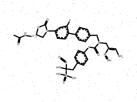 CC(=O)NC[C@H]1CN(c2ccc(-c3ccc(CN(C/C(=C/N)N=N)C(=O)Sc4ccc(CC(O)(P=O)P(=O)(O)O)cc4)cc3)c(F)c2)C(=O)O1